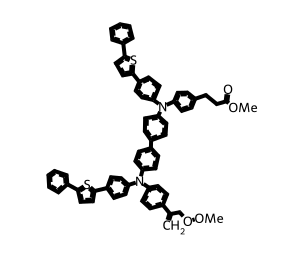 C=C(COOC)c1ccc(N(c2ccc(-c3ccc(N(c4ccc(CCC(=O)OC)cc4)c4ccc(-c5ccc(-c6ccccc6)s5)cc4)cc3)cc2)c2ccc(-c3ccc(-c4ccccc4)s3)cc2)cc1